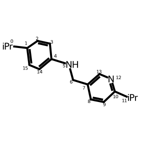 CC(C)c1ccc(NCc2ccc(C(C)C)nc2)cc1